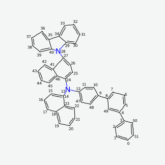 c1ccc(-c2cccc(-c3ccc(N(c4cccc5ccccc45)c4ccc(-n5c6ccccc6c6ccccc65)c5ccccc45)cc3)c2)cc1